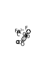 O=C([c-]1cccc1)N1CCN(S(=O)(=O)c2cccc(F)c2)CC1.[Fe+2].c1cc[cH-]c1